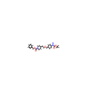 CC(C)(C)OC(=O)NC1CCC(COCCC2CCN(C(=O)OCc3ccccc3)CC2)CC1